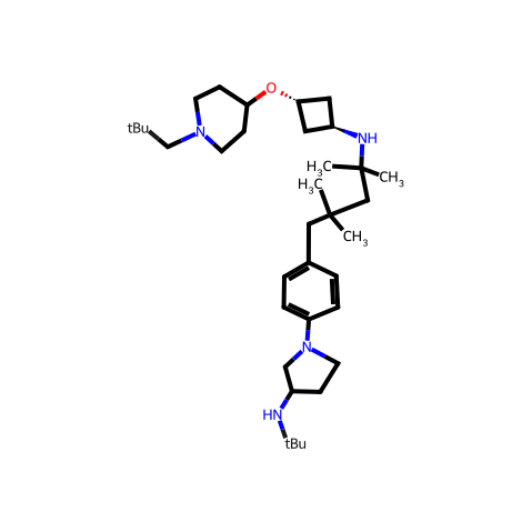 CC(C)(C)CN1CCC(O[C@H]2C[C@H](NC(C)(C)CC(C)(C)Cc3ccc(N4CCC(NC(C)(C)C)C4)cc3)C2)CC1